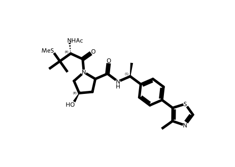 CSC(C)(C)[C@H](NC(C)=O)C(=O)N1C[C@H](O)CC1C(=O)N[C@@H](C)c1ccc(-c2scnc2C)cc1